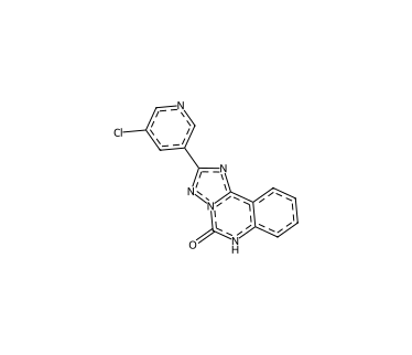 O=c1[nH]c2ccccc2c2nc(-c3cncc(Cl)c3)nn12